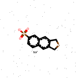 O=S(=O)([O-])c1ccc2cc3c(cc2c1)CSC3.[Na+]